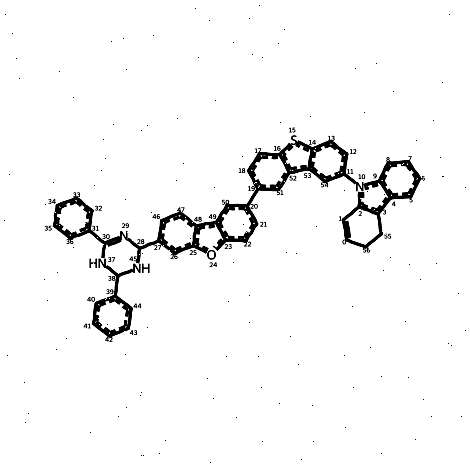 C1=Cc2c(c3ccccc3n2-c2ccc3sc4ccc(-c5ccc6oc7cc(C8N=C(c9ccccc9)NC(c9ccccc9)N8)ccc7c6c5)cc4c3c2)CC1